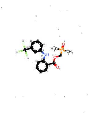 CP(C)(=O)COC(=O)c1ccccc1Nc1cccc(C(F)(F)F)c1